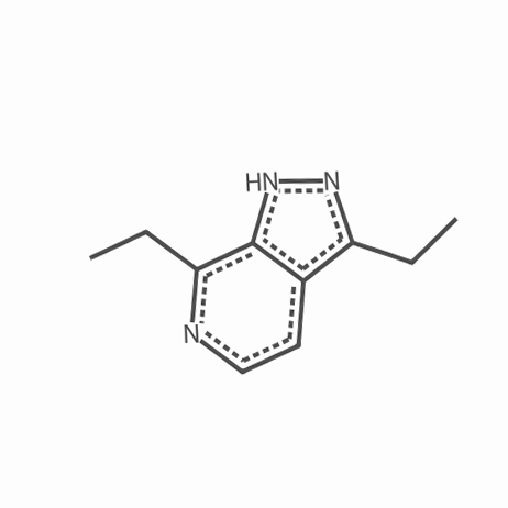 CCc1n[nH]c2c(CC)nccc12